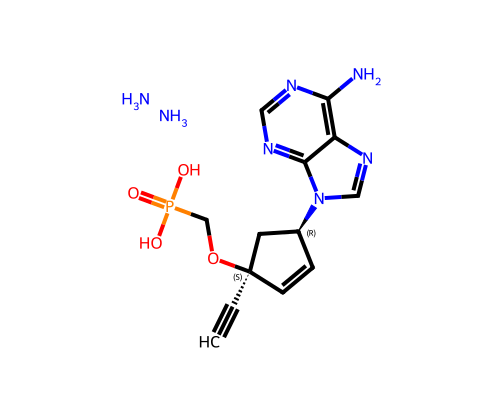 C#C[C@@]1(OCP(=O)(O)O)C=C[C@H](n2cnc3c(N)ncnc32)C1.N.N